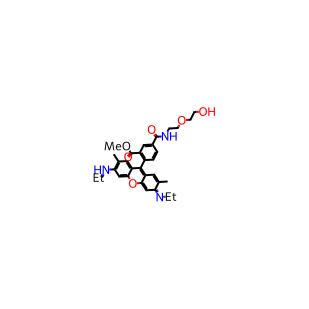 CC/N=c1/cc2oc3cc(NCC)c(C)cc3c(-c3ccc(C(=O)NCCOCCO)cc3C(=O)OC)c-2cc1C